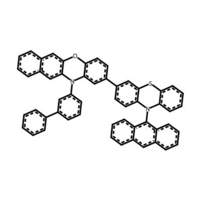 c1ccc(-c2cccc(N3c4cc(-c5ccc6c(c5)Sc5ccccc5N6c5c6ccccc6cc6ccccc56)ccc4Oc4cc5ccccc5cc43)c2)cc1